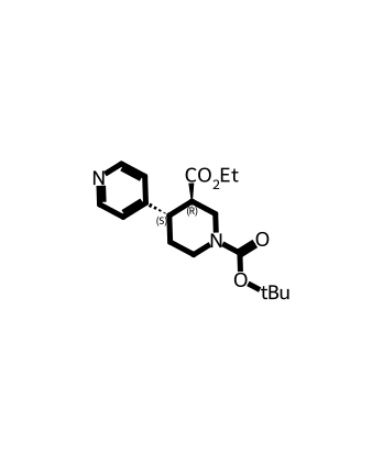 CCOC(=O)[C@H]1CN(C(=O)OC(C)(C)C)CC[C@@H]1c1ccncc1